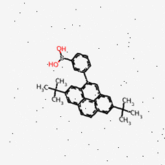 CC(C)(C)c1cc2ccc3cc(C(C)(C)C)cc4c(-c5cccc(B(O)O)c5)cc(c1)c2c34